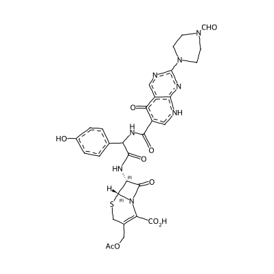 CC(=O)OCC1=C(C(=O)O)N2C(=O)[C@@H](NC(=O)C(NC(=O)c3c[nH]c4nc(N5CCN(C=O)CC5)ncc4c3=O)c3ccc(O)cc3)[C@H]2SC1